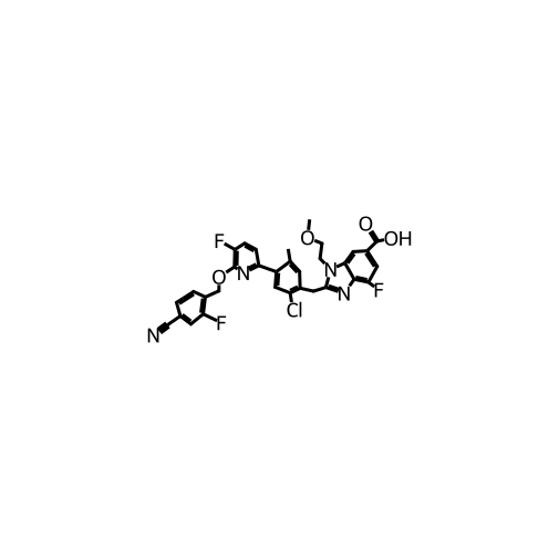 COCCn1c(Cc2cc(C)c(-c3ccc(F)c(OCc4ccc(C#N)cc4F)n3)cc2Cl)nc2c(F)cc(C(=O)O)cc21